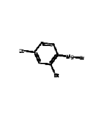 CCc1cc[c]([Mg][Br])c(CC)c1